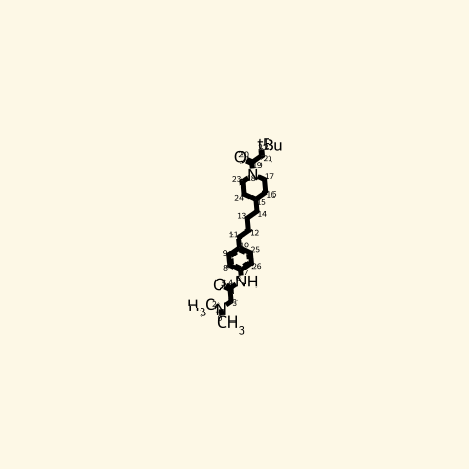 CN(C)CC(=O)Nc1ccc(CCCCC2CCN(C(=O)CC(C)(C)C)CC2)cc1